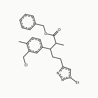 CCn1cc(CCC(c2ccc(C)c(CCl)c2)C(C)C(=O)OCc2ccccc2)nn1